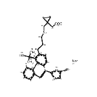 CC(C)c1csc(C=Cc2ccccc2-c2cccc(CCCSCC3(CC(=O)[O-])CC3)c2C(C)(C)O)n1.[Na+]